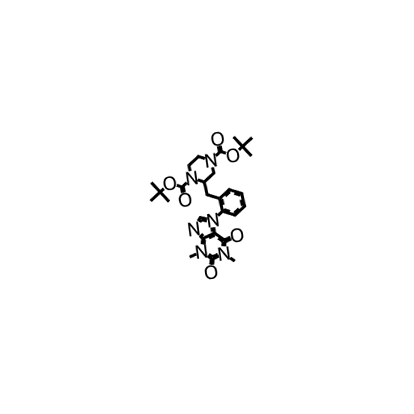 Cn1c(=O)c2c(ncn2-c2ccccc2CC2CN(C(=O)OC(C)(C)C)CCN2C(=O)OC(C)(C)C)n(C)c1=O